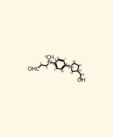 CN(CCC=O)c1ccc(N2CCC(CO)C2)cc1